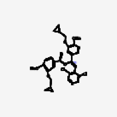 COc1ccc(C(=O)O/C(=C\c2c(Cl)cncc2Cl)c2ccc(OC)c(OCC3CC3)c2)cc1OCC1CC1